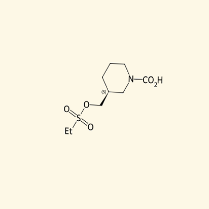 CCS(=O)(=O)OC[C@H]1CCCN(C(=O)O)C1